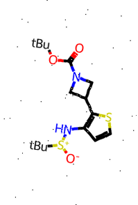 CC(C)(C)OC(=O)N1CC(c2sccc2N[S+]([O-])C(C)(C)C)C1